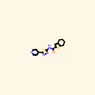 O=C(Nc1nnc(-c2ccncc2)s1)c1cc2c(s1)CCCC2